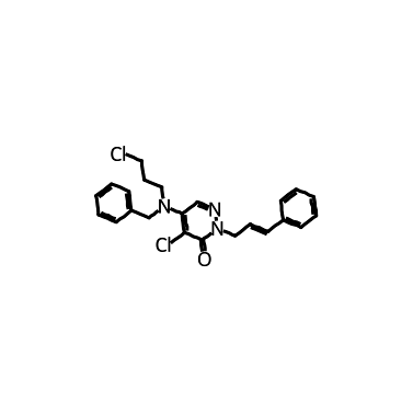 O=c1c(Cl)c(N(CCCCl)Cc2ccccc2)cnn1C/C=C/c1ccccc1